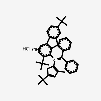 CC1=[C]([Zr](=[C](c2ccccc2)c2ccccc2)[c]2c(C(C)(C)C)ccc3c2Cc2cc(C(C)(C)C)ccc2-3)CC(C(C)(C)C)=C1.Cl.Cl